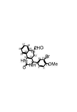 COc1ccc(C2NC(=O)NC3=C2CN(C=O)c2ccccc23)cc1Br